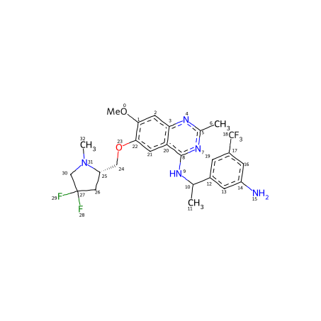 COc1cc2nc(C)nc(NC(C)c3cc(N)cc(C(F)(F)F)c3)c2cc1OC[C@@H]1CC(F)(F)CN1C